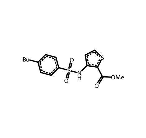 CCC(C)c1ccc(S(=O)(=O)Nc2ccsc2C(=O)OC)cc1